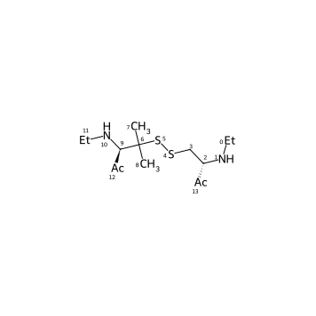 CCN[C@@H](CSSC(C)(C)[C@H](NCC)C(C)=O)C(C)=O